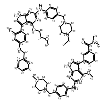 CCN1CCN(Cc2ccc(Nc3nc(OCCOC)c4c(-c5ccc(OCc6ncccn6)cc5F)c[nH]c4n3)cc2)CC1.COc1nc(Nc2ccc(CN3CCN(C)CC3)cc2)nc2[nH]cc(-c3cccc(C(=O)N(C)C)c3)c12